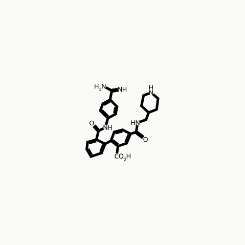 N=C(N)c1ccc(NC(=O)c2ccccc2-c2ccc(C(=O)NCC3CCNCC3)cc2C(=O)O)cc1